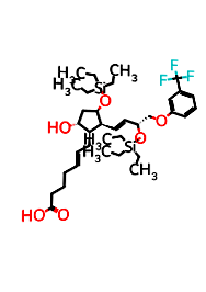 CC[Si](CC)(CC)O[C@H](C=C[C@H]1[C@@H](CC=CCCCC(=O)O)[C@H](O)C[C@H]1O[Si](CC)(CC)CC)COc1cccc(C(F)(F)F)c1